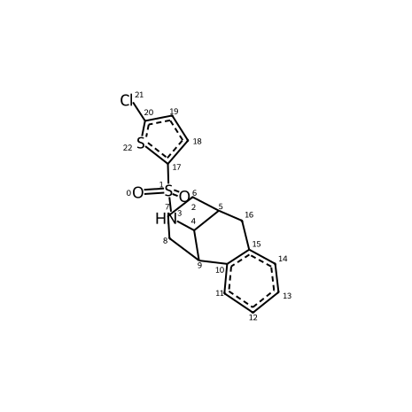 O=S(=O)(NC1C2CCCC1c1ccccc1C2)c1ccc(Cl)s1